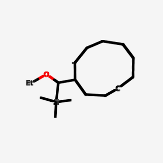 CCOC(C1[CH]CCCCCCCC1)[Si](C)(C)C